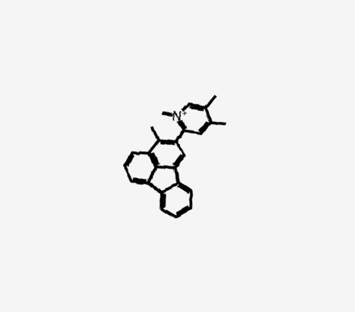 Cc1cc(-c2cc3c4c(cccc4c2C)-c2ccccc2-3)[n+](C)cc1C